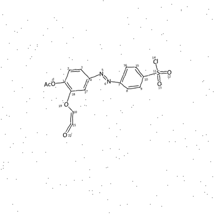 CC(=O)Oc1ccc(N=Nc2ccc(S(=O)(=O)Cl)cc2)cc1OC=C=O